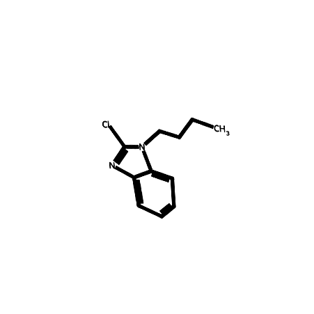 CCCCn1c(Cl)nc2ccccc21